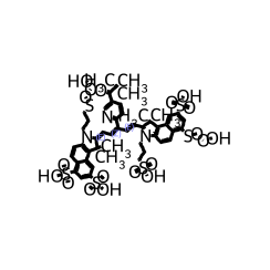 CC(C)(C)C(=O)c1ccc(C(=C\C=C2\N(CCCSOOO)c3ccc4c(S(=O)(=O)O)cc(S(=O)(=O)O)cc4c3C2(C)C)/C=C/C2=[N+](CCCS(=O)(=O)O)c3ccc4c(SOOO)cc(S(=O)(=O)O)cc4c3C2(C)C)nc1